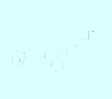 CC1(N)C2CC[C@H](CNC(=O)c3cccc4nc(CC(=O)N5CC[C@@H](N)C5)cn34)C1C2